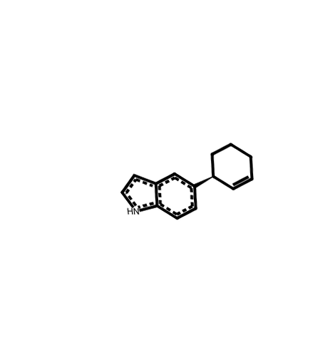 C1=C[C@@H](c2ccc3[nH]ccc3c2)CCC1